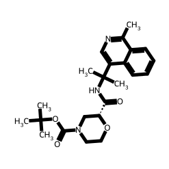 Cc1ncc(C(C)(C)NC(=O)[C@H]2CN(C(=O)OC(C)(C)C)CCO2)c2ccccc12